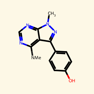 CNc1ncnc2c1c(-c1ccc(O)cc1)nn2C